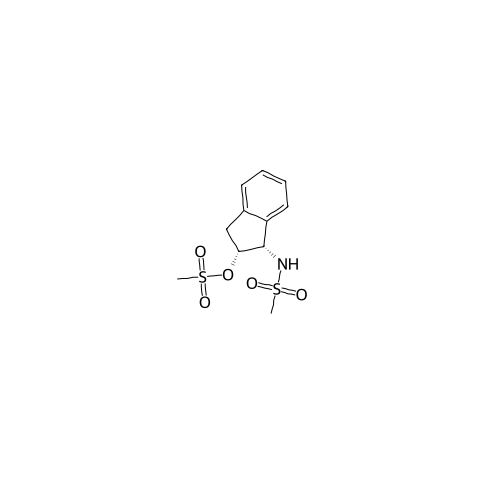 CS(=O)(=O)N[C@H]1c2ccccc2C[C@H]1OS(C)(=O)=O